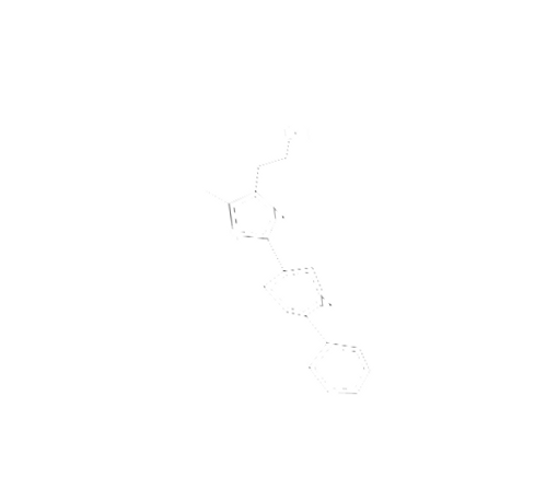 Cc1sc(-c2ccc(-c3ccccc3)nc2)nc1CCO